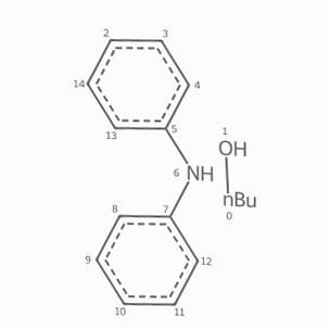 CCCCO.c1ccc(Nc2ccccc2)cc1